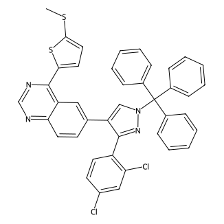 CSc1ccc(-c2ncnc3ccc(-c4cn(C(c5ccccc5)(c5ccccc5)c5ccccc5)nc4-c4ccc(Cl)cc4Cl)cc23)s1